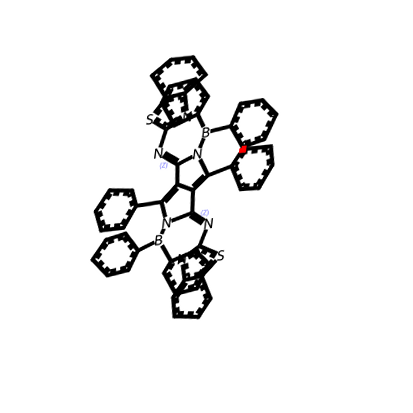 c1ccc(B(c2ccccc2)N2C(c3ccccc3)=C3C(=C(c4ccccc4)N(B(c4ccccc4)c4ccccc4)/C3=N\c3nc4ccccc4s3)/C2=N/c2nc3ccccc3s2)cc1